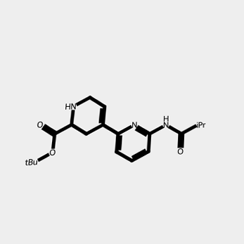 CC(C)C(=O)Nc1cccc(C2=CCNC(C(=O)OC(C)(C)C)C2)n1